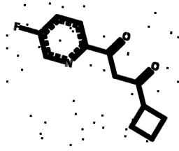 O=C(CC(=O)C1CCC1)c1ccc(F)cn1